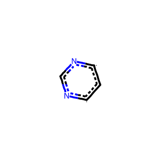 [c]1c[c]ncn1